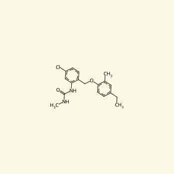 CCc1ccc(OCc2ccc(Cl)cc2NC(=O)NC)c(C)c1